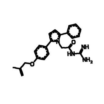 C=C(C)COc1ccc(-c2ccc(-c3ccccc3)n2CC(=O)NC(=N)N)cc1